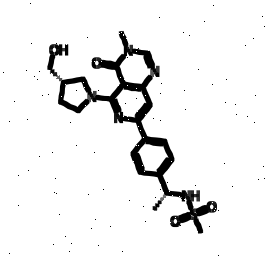 C[C@@H](NS(C)(=O)=O)c1ccc(-c2cc3ncn(C)c(=O)c3c(N3CC[C@H](CO)C3)n2)cc1